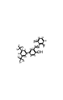 CC(C)(C)c1cc(-c2ccc(O)c(/C=N/c3c(F)cccc3F)c2)cc(C(C)(C)C)c1